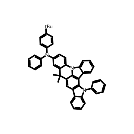 CC(C)(C)c1ccc(N(c2ccccc2)c2ccc3c(c2)C(C)(C)c2cc4c5ccccc5n(-c5ccccc5)c4c4c5ccccc5n-3c24)cc1